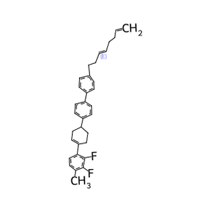 C=CCC/C=C/CCc1ccc(-c2ccc(C3CC=C(c4ccc(C)c(F)c4F)CC3)cc2)cc1